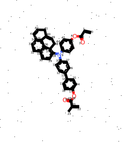 C=CC(=O)Oc1ccc(N(c2ccc(-c3ccc(OC(=O)C(=C)C)cc3)cc2)c2ccc3ccc4c5c3c2CC=C5CC=C4)cc1